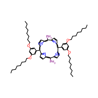 CCCCCCCCOc1cc(OCCCCCCCC)cc(-c2c3nc(c(P)c4ccc([nH]4)c(-c4cc(OCCCCCCCC)cc(OCCCCCCCC)c4)c4nc(c(P)c5ccc2[nH]5)C=C4)C=C3)c1